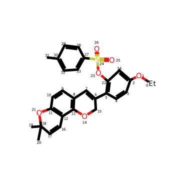 CCOc1ccc(C2=Cc3ccc4c(c3OC2)C=CC(C)(C)O4)c(OS(=O)(=O)c2ccc(C)cc2)c1